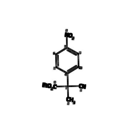 CCOC(=O)C(C)(C#N)c1ccc([N+](=O)[O-])cc1